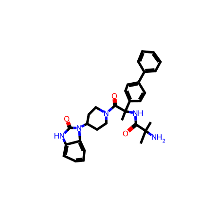 CC(C)(N)C(=O)NC(C)(C(=O)N1CCC(n2c(=O)[nH]c3ccccc32)CC1)c1ccc(-c2ccccc2)cc1